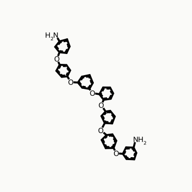 Nc1cccc(Oc2ccc(Oc3cccc(Oc4ccccc4Oc4cccc(Oc5ccc(Oc6cccc(N)c6)cc5)c4)c3)cc2)c1